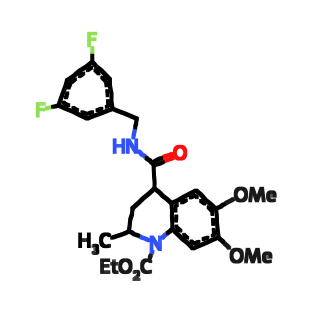 CCOC(=O)N1c2cc(OC)c(OC)cc2C(C(=O)NCc2cc(F)cc(F)c2)CC1C